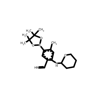 Cc1cc(NC2CCCCO2)c(C=N)cc1B1OC(C)(C)C(C)(C)O1